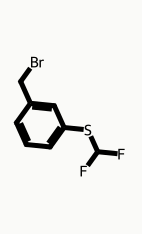 FC(F)Sc1cccc(CBr)c1